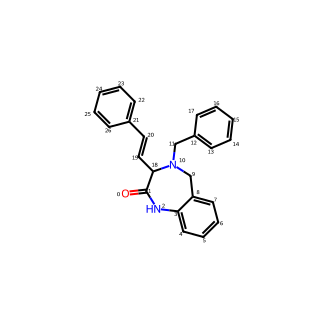 O=C1Nc2ccccc2CN(Cc2ccccc2)C1C=Cc1ccccc1